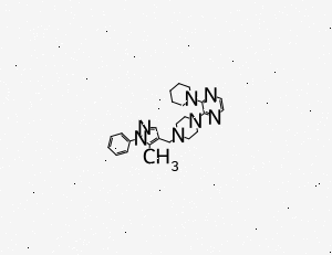 Cc1c(CN2CCN(c3nccnc3N3CCCCC3)CC2)cnn1-c1ccccc1